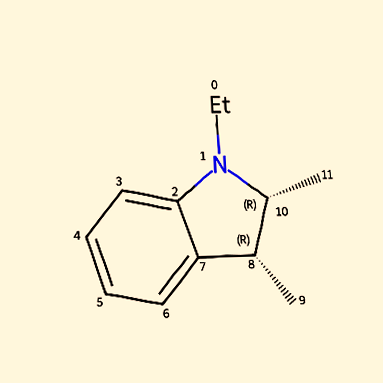 CCN1c2ccccc2[C@@H](C)[C@H]1C